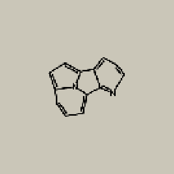 c1cnc2c(c1)c1ccc3cccc2n31